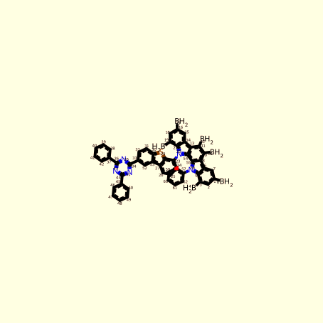 Bc1cc(B)c2c(c1)c1c(B)c(B)c3c4cc(B)cc(B)c4n(-c4cccc5c4sc4ccc(-c6nc(-c7ccccc7)nc(-c7ccccc7)n6)cc45)c3c1n2-c1ccccc1